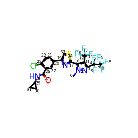 Cn1nc(C(F)(F)C(F)(F)F)c(C(F)(F)F)c1-c1nc(-c2ccc(Cl)c(C(=O)NC3CC3)c2)cs1